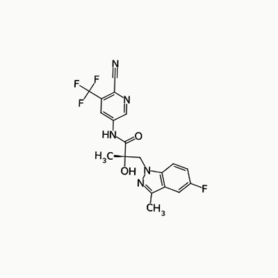 Cc1nn(C[C@](C)(O)C(=O)Nc2cnc(C#N)c(C(F)(F)F)c2)c2ccc(F)cc12